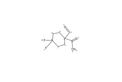 CC(=O)C1(C=O)CCC(F)(F)CC1